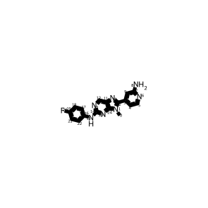 Cn1c(-c2ccnc(N)c2)nc2cnc(Nc3ccc(F)cc3)nc21